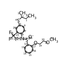 CCC(C)Sc1ccc(N[S+]([O-])c2ccccc2OCCOC)c(C(F)(F)F)c1